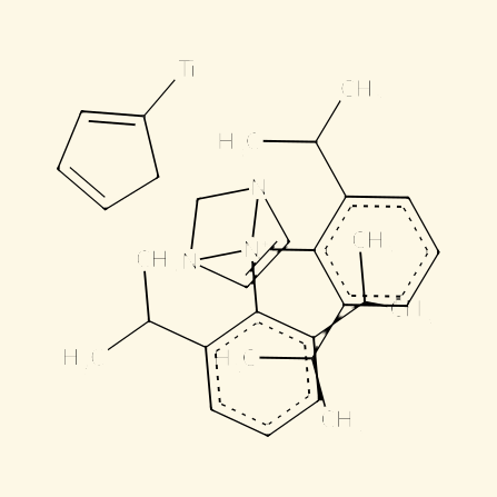 CC(C)c1cccc(C(C)C)c1[N+]1(c2c(C(C)C)cccc2C(C)C)N2C=CN1C2.[Ti][C]1=CC=CC1